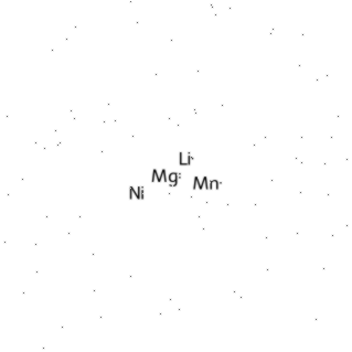 [Li].[Mg].[Mn].[Ni]